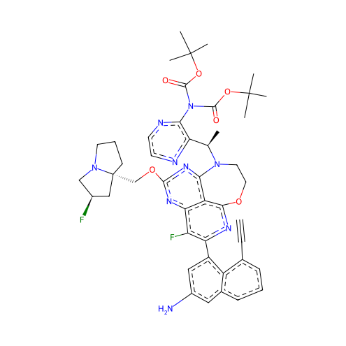 C#Cc1cccc2cc(N)cc(-c3nc4c5c(nc(OC[C@@]67CCCN6C[C@H](F)C7)nc5c3F)N([C@H](C)c3nccnc3N(C(=O)OC(C)(C)C)C(=O)OC(C)(C)C)CCO4)c12